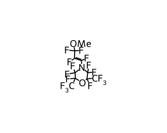 COC(F)(F)/C(F)=C(\F)N1C(F)(F)C(F)(C(F)(F)F)OC(F)(C(F)(F)F)C1(F)F